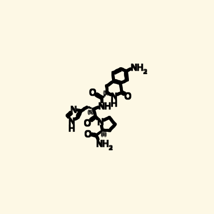 NC(=O)[C@@H]1CCCN1C(=O)[C@H](Cc1c[nH]cn1)NC(=O)[C@@H]1Cc2ccc(N)cc2C(=O)N1